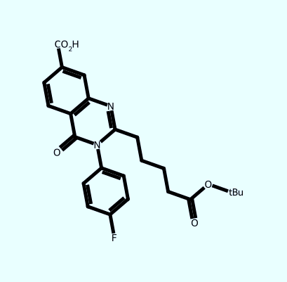 CC(C)(C)OC(=O)CCCCc1nc2cc(C(=O)O)ccc2c(=O)n1-c1ccc(F)cc1